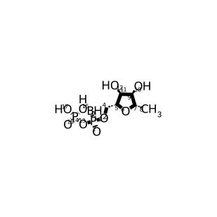 BP(=O)(OC[C@H]1O[C@@H](C)[C@H](O)[C@@H]1O)OP(=O)(O)O